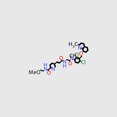 COCCNC(=O)c1ccc(/C=C/C(=O)NCC(=O)N(C)c2ccc(Cl)c(COc3cccc4ccc(C)nc34)c2Cl)cn1